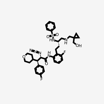 [N-]=[N+]=N[C@H](C(=O)Nc1cccc(F)c1CC[C@@H](CNCC1(CO)CC1)NS(=O)(=O)c1ccccc1)[C@@H](c1ccc(F)cc1)C1CCOCC1